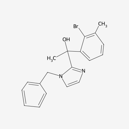 Cc1cccc(C(C)(O)c2nccn2Cc2ccccc2)c1Br